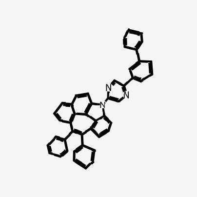 c1ccc(C2=C(c3ccccc3)c3cccc4c3c3c5c2cccc5ccc3n4-c2cnc(-c3cccc(-c4ccccc4)c3)cn2)cc1